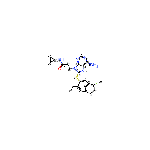 CCC1=CC2C=C(C=C1Sc1nc3c(N)ncnc3n1CCC(=O)NC1CC1)C(F)CC2